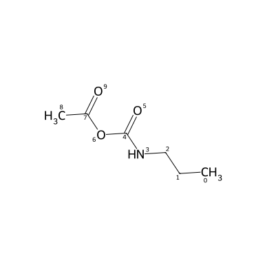 CCCNC(=O)OC(C)=O